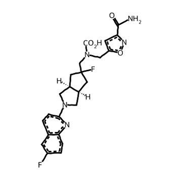 NC(=O)c1cc(CN(CC2(F)C[C@H]3CN(c4ccc5cc(F)ccc5n4)C[C@H]3C2)C(=O)O)on1